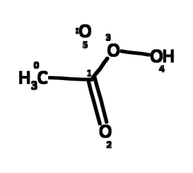 CC(=O)OO.[O]